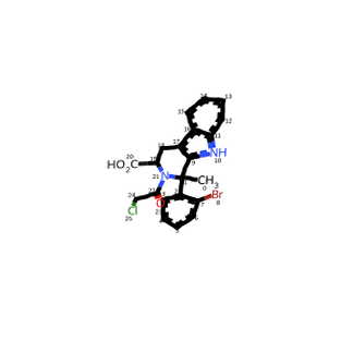 CC1(c2ccccc2Br)c2[nH]c3ccccc3c2CC(C(=O)O)N1C(=O)CCl